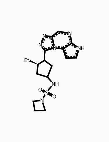 CC[C@@H]1CC(NS(=O)(=O)N2CCC2)C[C@@H]1c1nnc2cnc3[nH]ccc3n12